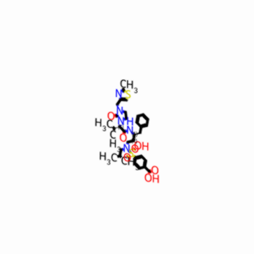 Cc1nc(CN2CCN([C@H](C(=O)N[C@@H](Cc3ccccc3)[C@H](O)CN(CC(C)C)S(=O)(=O)c3ccc(C(=O)O)cc3)C(C)C)C2=O)cs1